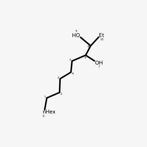 CCCCCCCCCCCC(O)C(O)CC